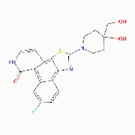 O=c1[nH]ccc2c3sc(N4CCC(O)(CO)CC4)nc3c3ccc(F)cc3c12